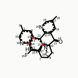 Cc1ccc(NC2CC3CCC2N(C(=O)c2cc(C)cnc2-c2ncc(F)cn2)C3)nc1